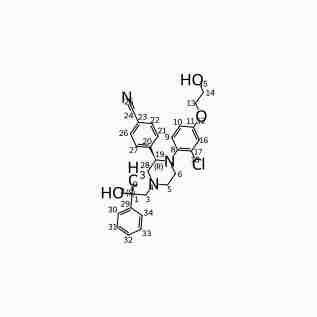 C[C@@](O)(CN1CCN(c2ccc(OCCO)cc2Cl)[C@H](c2ccc(C#N)cc2)C1)c1ccccc1